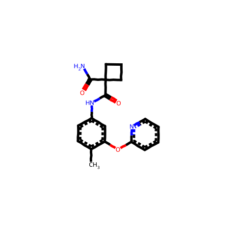 Cc1ccc(NC(=O)C2(C(N)=O)CCC2)cc1Oc1ccccn1